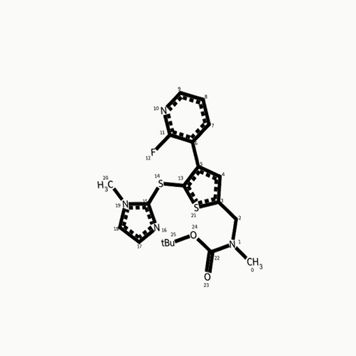 CN(Cc1cc(-c2cccnc2F)c(Sc2nccn2C)s1)C(=O)OC(C)(C)C